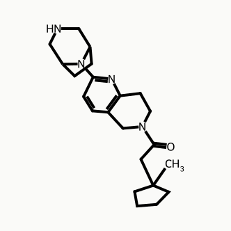 CC1(CC(=O)N2CCc3nc(N4C5CCC4CNC5)ccc3C2)CCCC1